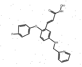 O=C(/C=C/c1cc(NCc2ccccn2)ccc1Oc1ccc(F)cc1)NO